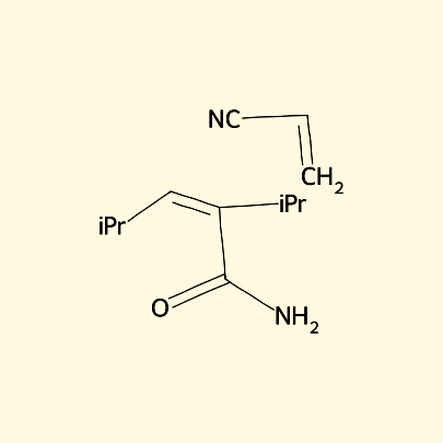 C=CC#N.CC(C)C=C(C(N)=O)C(C)C